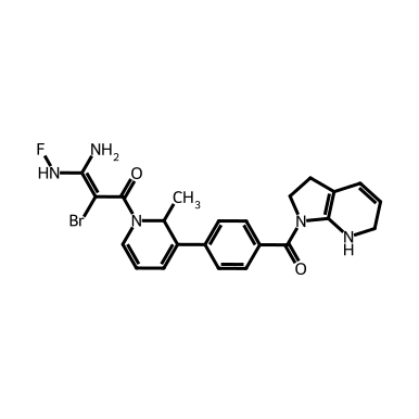 CC1C(c2ccc(C(=O)N3CCC4=C3NCC=C4)cc2)=CC=CN1C(=O)/C(Br)=C(\N)NF